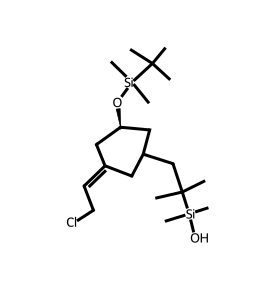 CC(C)(CC1C/C(=C\CCl)C[C@@H](O[Si](C)(C)C(C)(C)C)C1)[Si](C)(C)O